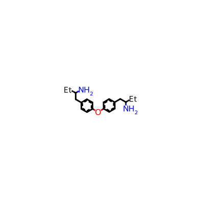 CCC(N)Cc1ccc(Oc2ccc(CC(N)CC)cc2)cc1